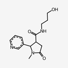 CN1C(=O)CC(C(=O)NCCCO)C1c1cccnc1